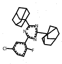 Fc1ccc(Cl)cc1-c1nc(C23CC4CC(CC(C4)C2)C3)nc(C23CC4CC(CC(C4)C2)C3)n1